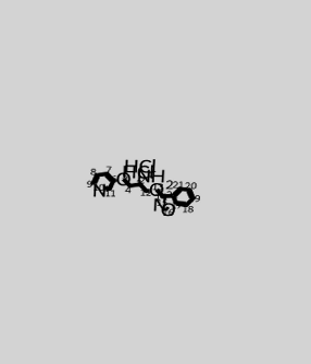 Cl.Cl.NC(COc1cccnc1)COc1noc2ccccc12